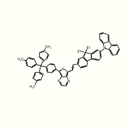 CCC1(CC)c2cc(/C=C/c3sc(-c4ccc(C(c5ccc(C)cc5)(c5ccc(C)cc5)c5ccc(C)cc5)cc4)c4nccnc34)ccc2-c2ccc(-n3c4ccccc4c4ccccc43)cc21